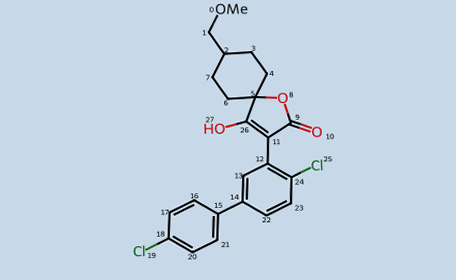 COCC1CCC2(CC1)OC(=O)C(c1cc(-c3ccc(Cl)cc3)ccc1Cl)=C2O